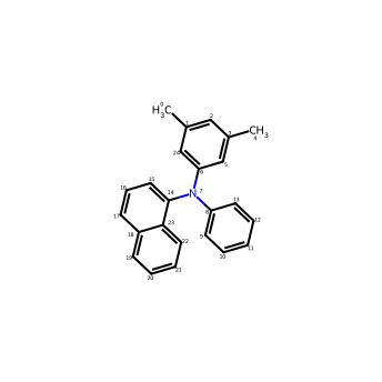 Cc1cc(C)cc(N(c2ccccc2)c2cccc3ccccc23)c1